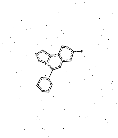 Fc1ccc2c(c1)cc(-c1ccccc1)n1nncc21